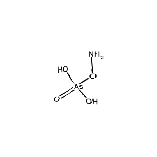 NO[As](=O)(O)O